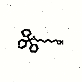 N#CCCCCCCSC(c1ccccc1)(c1ccccc1)c1ccccc1